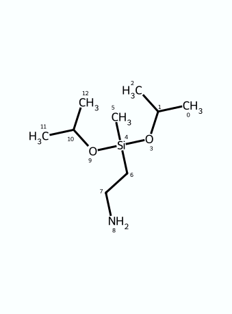 CC(C)O[Si](C)(CCN)OC(C)C